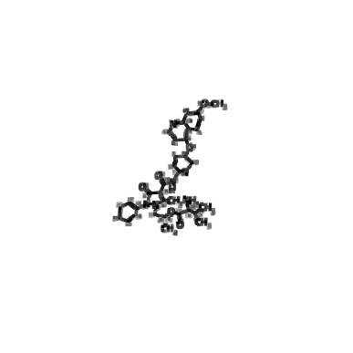 COc1ccc2c(Oc3ccc(NC(=O)c4c(C)n(C[C@@H](C)OC(=O)[C@@H](N)C(C)C)n(-c5ccccc5)c4=O)nc3)ccnc2c1